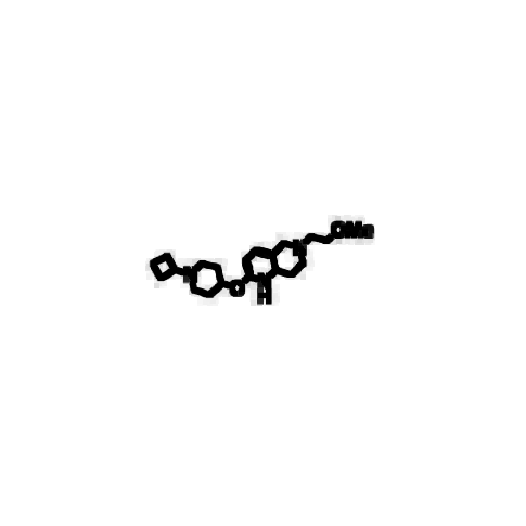 COCCN1CCC2NC(OC3CCN(C4CCC4)CC3)=CC=C2C1